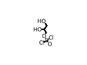 O=P(Cl)(Cl)OCC(O)CO